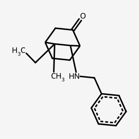 CCC1(C)C2CCC(C(=O)C2)C1NCc1ccccc1